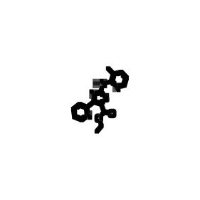 CCOC(=O)c1sc(Nc2ncccc2C)nc1-c1ccccn1